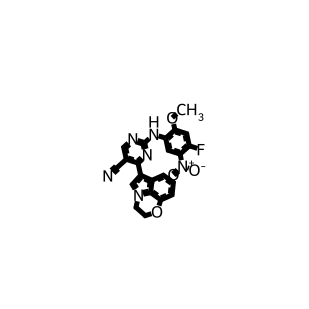 COc1cc(F)c([N+](=O)[O-])cc1Nc1ncc(C#N)c(-c2cn3c4c(cccc24)OCC3)n1